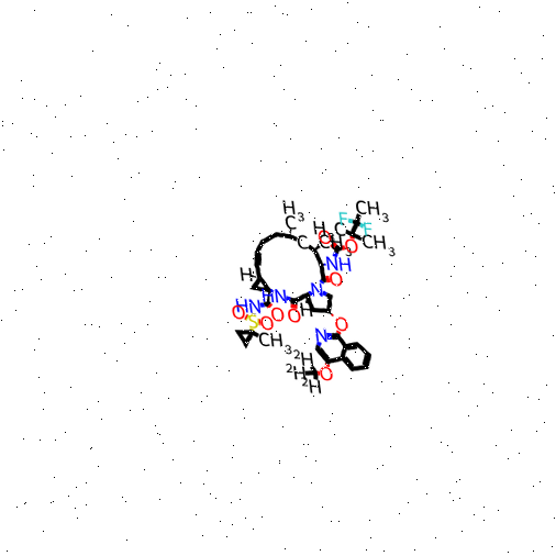 [2H]C([2H])([2H])Oc1cnc(O[C@@H]2C[C@H]3C(=O)N[C@]4(C(=O)NS(=O)(=O)C5(C)CC5)C[C@H]4/C=C\CC[C@H](C)C[C@@H](C)[C@H](NC(=O)OC(C)(C)C(C)(F)F)C(=O)N3C2)c2ccccc12